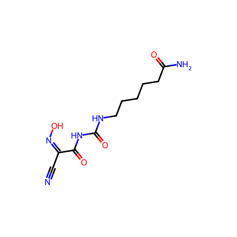 N#CC(=NO)C(=O)NC(=O)NCCCCCC(N)=O